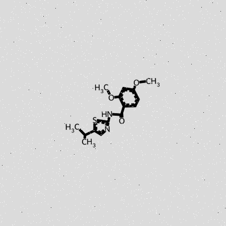 COc1ccc(C(=O)Nc2ncc(C(C)C)s2)c(OC)c1